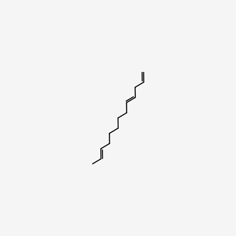 C=CCC=CCCCCCC=CC